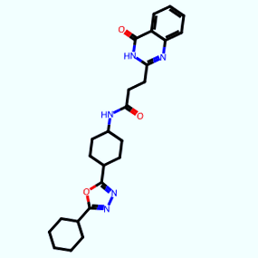 O=C(CCc1nc2ccccc2c(=O)[nH]1)NC1CCC(c2nnc(C3CCCCC3)o2)CC1